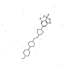 CCC1CCC(C2CCC(CCC3CCC(c4cc(F)c(C(F)(F)F)c(F)c4)CC3)CC2)CC1